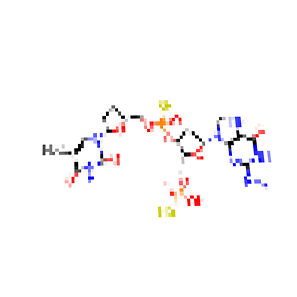 Cc1cn([C@H]2CC[C@@H](COP(=O)(S)O[C@@H]3C[C@H](N4CNc5c4nc(N)[nH]c5=O)O[C@@H]3COP(=O)(O)S)O2)c(=O)[nH]c1=O